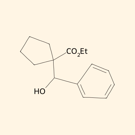 CCOC(=O)C1(C(O)c2ccccc2)CCCC1